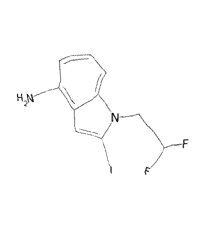 Nc1cccc2c1cc(I)n2CC(F)F